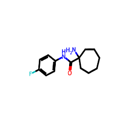 NC1(C(=O)Nc2ccc(F)cc2)CCCCCC1